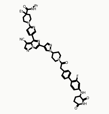 CCC1(C(=O)NC(C)C)CCN(c2ccc(-c3nc(-c4cnn(C5CCN(C(=O)Cc6ccc(-c7ccc(NC8CCC(=O)NC8=O)cc7F)cc6)CC5)c4)cn4ncc(C#N)c34)cn2)CC1